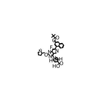 CN1CCCC1COc1nc(N2C[C@H]3CC[C@@H]2CN3C(=O)O)c2cnc(-c3cc(OC(=O)C(C)(C)C)cc4ccccc34)c(F)c2n1